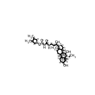 CC[C@H]1[C@@H](O)[C@@H]2[C@H](CC[C@]3(C)[C@@H]([C@H](C)CCNC(=O)NS(=O)ON4CC(C)C(C)C4)CC[C@@H]23)[C@@]2(C)CC[C@@H](O)C[C@@H]12